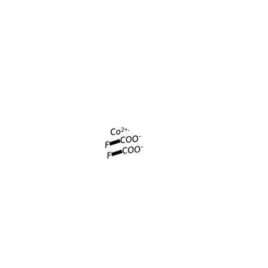 O=C([O-])F.O=C([O-])F.[Co+2]